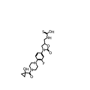 O=C1OC(CNC(O)=S)CN1c1ccc(N2CCN(C(=O)C3(O)CC3)CC2)c(F)c1